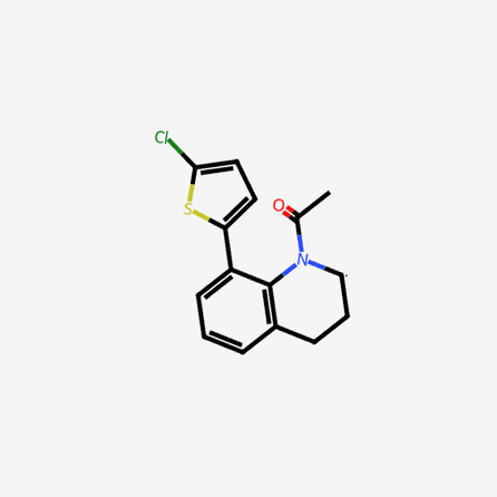 CC(=O)N1[CH]CCc2cccc(-c3ccc(Cl)s3)c21